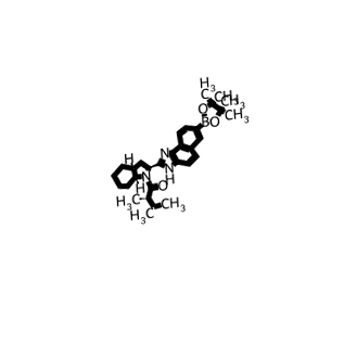 CC(C)[C@H](C)C(=O)N1[C@H](c2nc3c(ccc4cc(B5OC(C)(C)C(C)(C)O5)ccc43)[nH]2)C[C@@H]2CCCC[C@@H]21